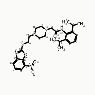 CC(C)c1cccc(C(C)C)c1NC(=O)CN1CCN(CCSc2nc3cccc([N+](=O)[O-])c3o2)CC1